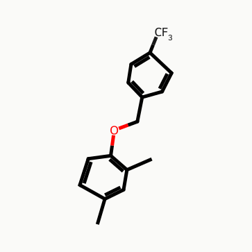 Cc1ccc(OCc2ccc(C(F)(F)F)cc2)c(C)c1